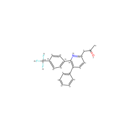 CC(=O)Cc1ccc(-c2ccccc2)c(-c2ccc(C(F)(F)F)cc2)n1